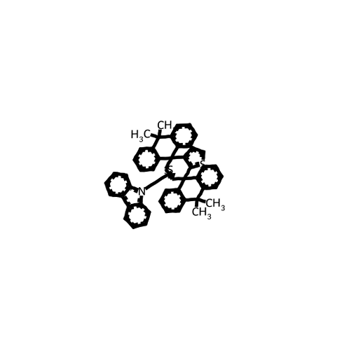 CC1(C)c2ccccc2C2(c3ccccc31)c1cc(-n3c4ccccc4c4ccccc43)sc1C1(c3ccccc3C(C)(C)c3ccccc31)c1ccsc12